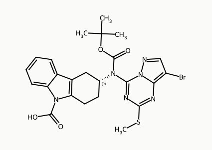 CSc1nc(N(C(=O)OC(C)(C)C)[C@@H]2CCc3c(c4ccccc4n3C(=O)O)C2)n2ncc(Br)c2n1